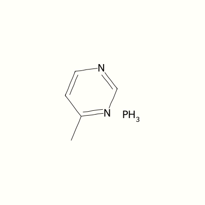 Cc1ccncn1.P